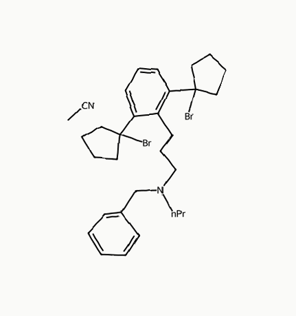 CC#N.CCCN(CCCc1c(C2(Br)CCCC2)cccc1C1(Br)CCCC1)Cc1ccccc1